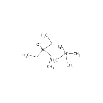 CC[Si]([O-])(CC)CC.C[N+](C)(C)C